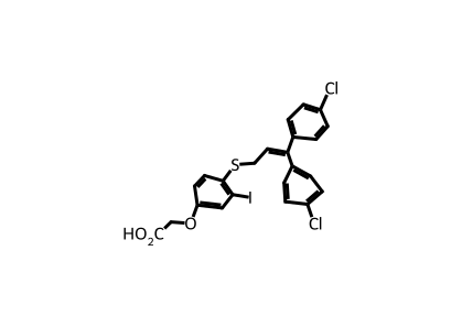 O=C(O)COc1ccc(SCC=C(c2ccc(Cl)cc2)c2ccc(Cl)cc2)c(I)c1